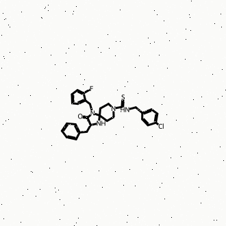 O=C1C(Cc2ccccc2)NC2(CCN(C(=S)NCc3ccc(Cl)cc3)CC2)N1Cc1ccccc1F